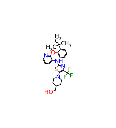 CC(C)(C)c1ccccc1Oc1ncccc1Nc1nc(C(F)(F)F)c(N2CCC(CO)CC2)s1